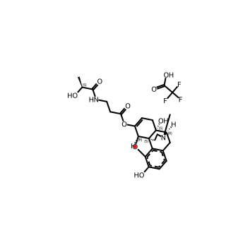 C[C@H](O)C(=O)NCCC(=O)OC1=CC[C@@]2(O)[C@H]3Cc4ccc(O)c5c4[C@@]2(CCN3C)[C@H]1O5.O=C(O)C(F)(F)F